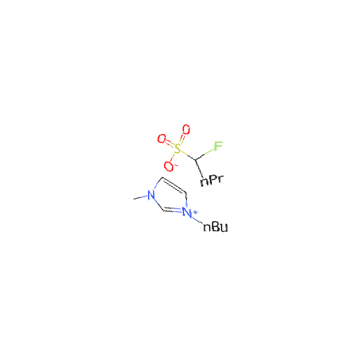 CCCC(F)S(=O)(=O)[O-].CCCC[n+]1ccn(C)c1